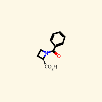 O=C(O)[C@H]1CCN1C(=O)c1ccccc1